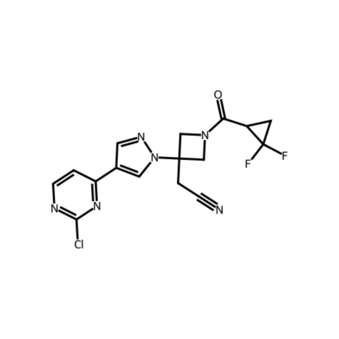 N#CCC1(n2cc(-c3ccnc(Cl)n3)cn2)CN(C(=O)C2CC2(F)F)C1